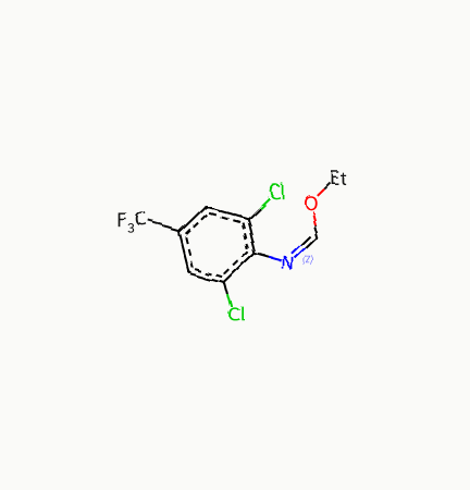 CCO/C=N\c1c(Cl)cc(C(F)(F)F)cc1Cl